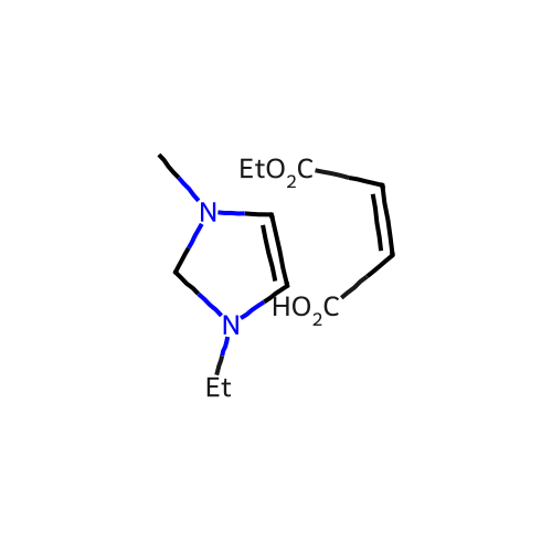 CCN1C=CN(C)C1.CCOC(=O)/C=C\C(=O)O